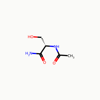 CC(=O)N[C@@H](CO)C(N)=O